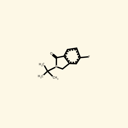 CC(C)(C)N1Cc2cc(F)ccc2C1=O